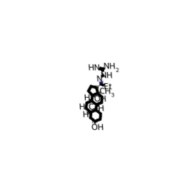 CC/C(=N\NC(=N)N)[C@H]1CC[C@]2(O)[C@@H]3CC[C@@H]4C[C@@H](O)CC[C@]4(C)[C@H]3CC[C@]12C